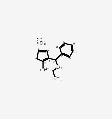 CCOC(C1=[C]([Ti+2])CC=C1)c1ccccc1.[Cl-].[Cl-]